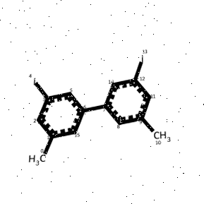 Cc1cc(I)cc(-c2cc(C)cc(I)c2)c1